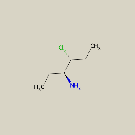 CC[C@@H](Cl)[C@@H](N)CC